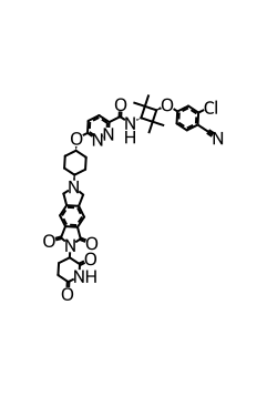 CC1(C)[C@H](NC(=O)c2ccc(O[C@H]3CC[C@H](N4Cc5cc6c(cc5C4)C(=O)N(C4CCC(=O)NC4=O)C6=O)CC3)nn2)C(C)(C)[C@H]1Oc1ccc(C#N)c(Cl)c1